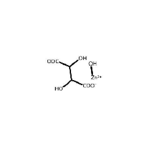 O=C([O-])C(O)C(O)C(=O)[O-].[OH][Zn+2]